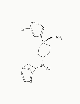 CC(=O)N(C1Cc2ccnc1c2)[C@H]1CC[C@@](CN)(c2cccc(Cl)c2)CC1